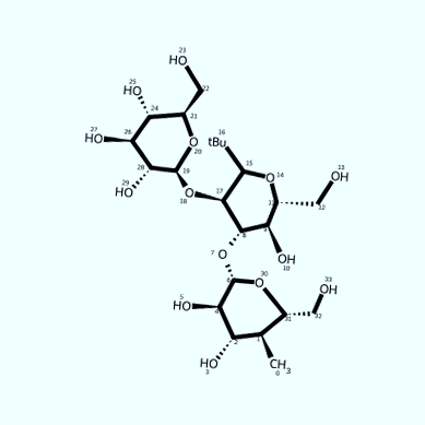 C[C@H]1[C@H](O)[C@@H](O)[C@H](O[C@H]2[C@H](O)[C@@H](CO)OC(C(C)(C)C)[C@@H]2O[C@@H]2O[C@H](CO)[C@@H](O)[C@H](O)[C@H]2O)O[C@@H]1CO